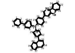 c1ccc(-c2ccc(N(c3ccc(-c4cnc5c(c4)sc4ccccc45)cc3)c3ccc(-c4cccc5ccccc45)cc3)cc2)cc1